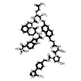 Cc1ncsc1-c1ccc(CNC(=O)[C@@H]2C[C@@H](O)CN2C(=O)[C@@H](NC(=O)CCc2ccc3cc(CO[C@H](C)[C@H](CCC(N)=O)NC(=O)[C@@H]4Cc5cccc6c5N4C(=O)[C@@H](NC(=O)c4cc5cc(C(=O)P(=O)(O)O)ccc5[nH]4)CC6)ccc3c2)C(C)(C)C)cc1